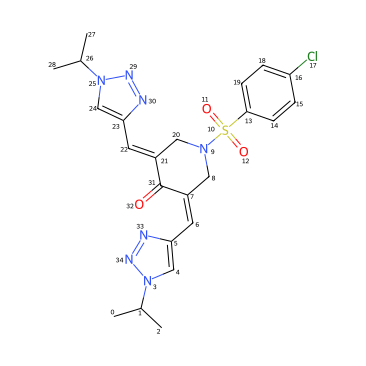 CC(C)n1cc(C=C2CN(S(=O)(=O)c3ccc(Cl)cc3)CC(=Cc3cn(C(C)C)nn3)C2=O)nn1